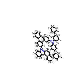 c1ccc(-c2ccc(N(c3ccc(-c4ccccc4-c4ccc(-n5c6ccccc6c6c7ccccc7ccc65)cc4)cc3)c3cccc(-c4ccccc4)c3)cc2)cc1